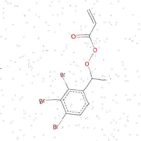 C=CC(=O)OOC(C)c1ccc(Br)c(Br)c1Br